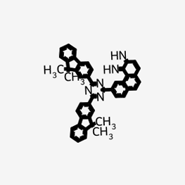 CC1(C)c2ccccc2-c2ccc(-c3nc(-c4ccc5c(c4)C(C)(C)c4ccccc4-5)nc(-c4ccc5ccc6c(c5c4)C(=N)C(=N)C=C6)n3)cc21